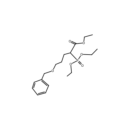 CCOC(=O)C(CCCOCc1ccccc1)P(=O)(OCC)OCC